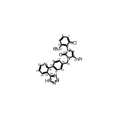 CCCc1cn(-c2c(Cl)cccc2C(C)(C)C)c(=O)n1Cc1ccc(-c2ncccc2-c2nnn[nH]2)cc1